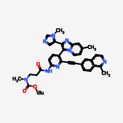 Cc1ccn2c(-c3ccc(NC(=O)CCN(C)C(=O)OC(C)(C)C)nc3C#Cc3ccc4c(C)nccc4c3)c(-c3cncn3C)nc2c1